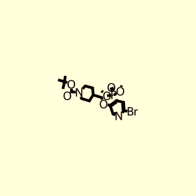 COP(=O)(OC)c1cc(Br)ncc1OCC1CCN(C(=O)OC(C)(C)C)CC1